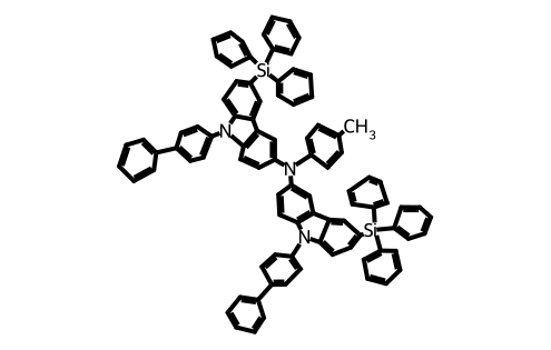 Cc1ccc(N(c2ccc3c(c2)c2cc([Si](c4ccccc4)(c4ccccc4)c4ccccc4)ccc2n3-c2ccc(-c3ccccc3)cc2)c2ccc3c(c2)c2cc([Si](c4ccccc4)(c4ccccc4)c4ccccc4)ccc2n3-c2ccc(-c3ccccc3)cc2)cc1